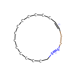 C1=C\SS/N=N/CCCCCCCCCCCCCC/1